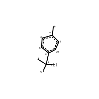 CCC(C)(I)c1ccc(C)cc1